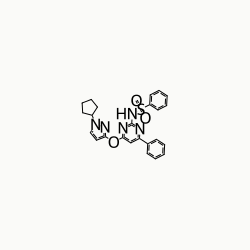 O=S(=O)(Nc1nc(Oc2ccn(C3CCCC3)n2)cc(-c2ccccc2)n1)c1ccccc1